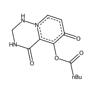 CCCCC(=O)Oc1c2n(ccc1=O)NCNC2=O